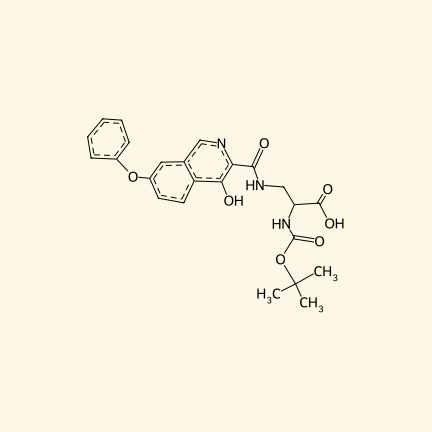 CC(C)(C)OC(=O)NC(CNC(=O)c1ncc2cc(Oc3ccccc3)ccc2c1O)C(=O)O